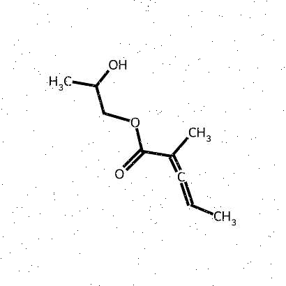 CC=C=C(C)C(=O)OCC(C)O